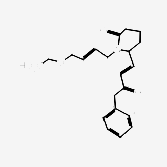 O=C(O)COCC=CCN1C(=O)CCCC1C=CC(=O)Cc1ccccc1